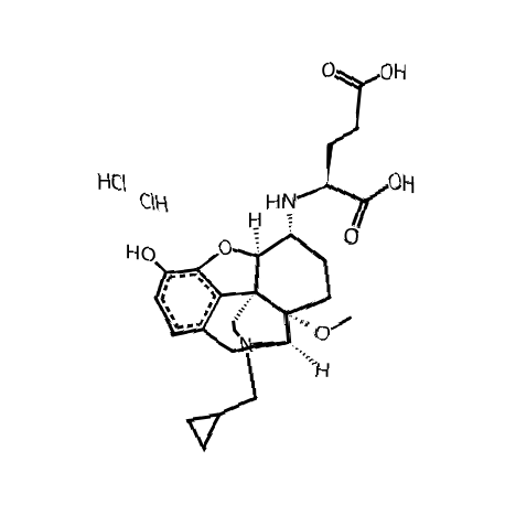 CO[C@@]12CC[C@@H](N[C@@H](CCC(=O)O)C(=O)O)[C@@H]3Oc4c(O)ccc5c4[C@@]31CCN(CC1CC1)[C@@H]2C5.Cl.Cl